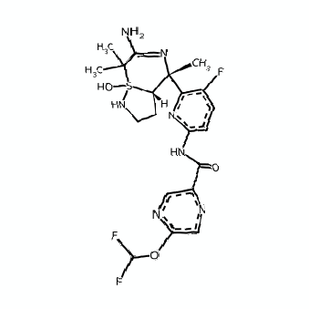 CC1(C)C(N)=N[C@](C)(c2nc(NC(=O)c3cnc(OC(F)F)cn3)ccc2F)[C@@H]2CCNS21O